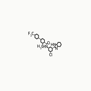 Cc1cc(-c2ccc(C(F)(F)F)cc2)ccc1C(=O)Nc1cc(Cl)cc(-c2nc3ccccc3[nH]2)c1